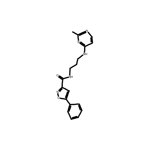 Cc1nccc(NCCCNC(=O)c2cc(-c3ccccc3)on2)n1